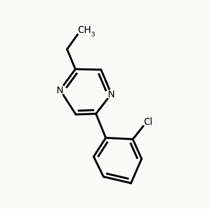 CCc1cnc(-c2ccccc2Cl)cn1